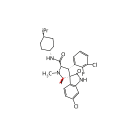 CC(C)[C@H]1CC[C@H](NC(=O)[C@H]2[C@H](c3cccc(Cl)c3F)[C@]3(C(=O)Nc4cc(Cl)ccc43)C3(CCCCC3)N2C)CC1